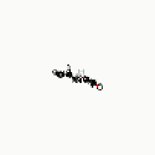 COCN1CC[C@@H](Oc2ccc(-c3ncnc(Nc4ccc(N5CCN(C6COC6)CC5)cc4)n3)cc2C#N)C1